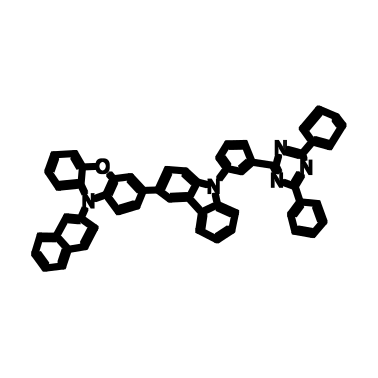 c1ccc(-c2nc(-c3ccccc3)nc(-c3cccc(-n4c5ccccc5c5cc(-c6ccc7c(c6)Oc6ccccc6N7c6ccc7ccccc7c6)ccc54)c3)n2)cc1